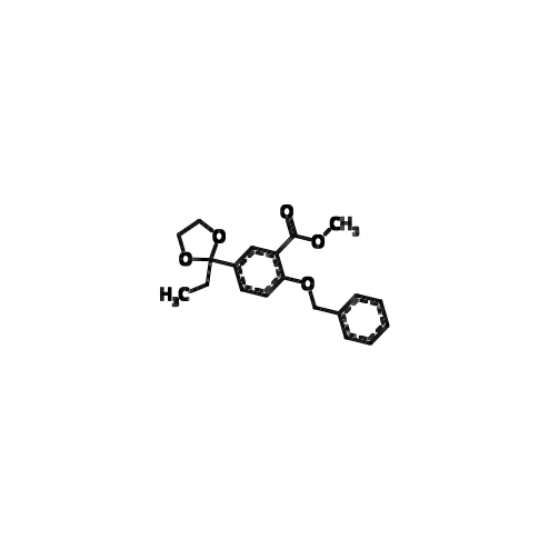 CCC1(c2ccc(OCc3ccccc3)c(C(=O)OC)c2)OCCO1